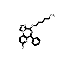 CCCCCCOC1N=C(c2ccccc2)c2nc(Cl)ccc2-n2cnnc21